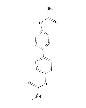 CNC(=O)Oc1ccc(-c2ccc(OC(N)=O)cc2)cc1